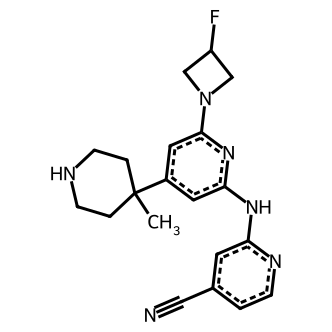 CC1(c2cc(Nc3cc(C#N)ccn3)nc(N3CC(F)C3)c2)CCNCC1